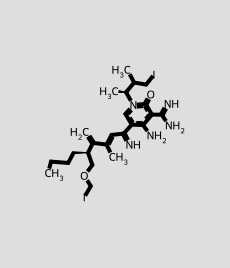 C=C(/C(C)=C/C(=N)c1cn([C@@H](C)C(C)CI)c(=O)c(C(=N)N)c1N)[C@H](CCCC)COCI